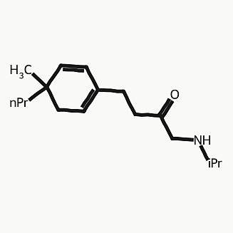 CCCC1(C)C=CC(CCC(=O)CNC(C)C)=CC1